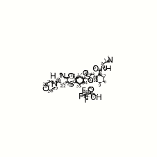 N#CCNC(=O)[C@H]1CCCC[C@@H]1CS(=O)(=O)c1ccc(SC(CCN2CCOCC2)C(N)=O)cc1.O=C(O)C(F)(F)F